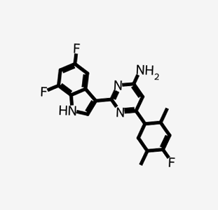 CC1CC(c2cc(N)nc(-c3c[nH]c4c(F)cc(F)cc34)n2)C(C)C=C1F